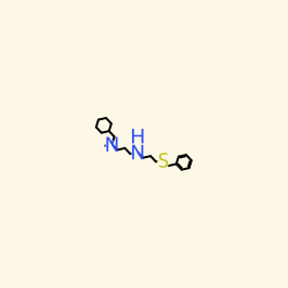 CN(CCCNCCCSCc1ccccc1)CC1CCCCC1